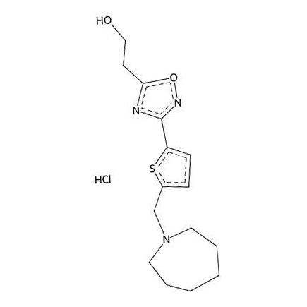 Cl.OCCc1nc(-c2ccc(CN3CCCCCC3)s2)no1